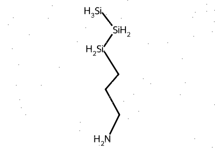 NCCC[SiH2][SiH2][SiH3]